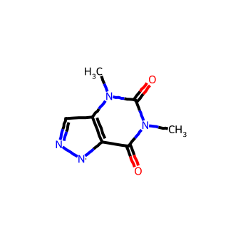 Cn1c2c(c(=O)n(C)c1=O)[N]N=C2